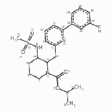 CC(C)OC(=O)N1CCCC(NS(C)(=O)=O)C1Cc1cccc(-c2cccc(F)c2)n1